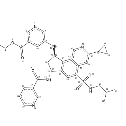 CCOC(=O)c1cncc(N[C@@H]2C[C@@H](NC(=O)c3cccnc3)c3cc(S(=O)(=O)NCC(C)C)c4cc(C5CC5)ncc4c32)c1